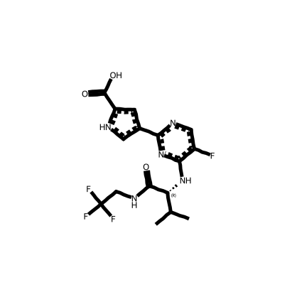 CC(C)[C@@H](Nc1nc(-c2c[nH]c(C(=O)O)c2)ncc1F)C(=O)NCC(F)(F)F